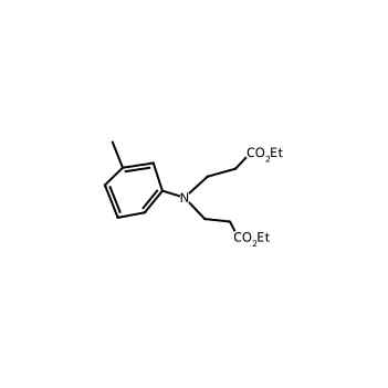 CCOC(=O)CCN(CCC(=O)OCC)c1cccc(C)c1